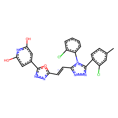 Cc1ccc(-c2nnc(/C=C/c3nnc(-c4cc(O)nc(O)c4)o3)n2-c2ccccc2Cl)c(Cl)c1